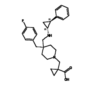 O=C(O)C1(CN2CCC(CN[C@@H]3C[C@H]3c3ccccc3)(Cc3ccc(F)cc3)CC2)CC1